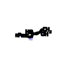 C=C[C@H](O)C#C[C@H](O)/C=C\CCCCC